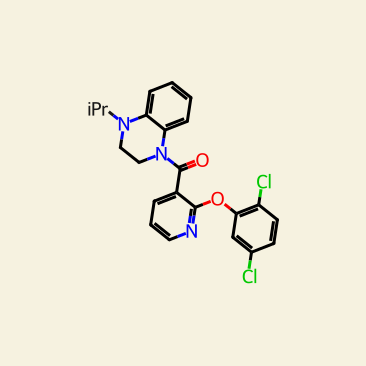 CC(C)N1CCN(C(=O)c2cccnc2Oc2cc(Cl)ccc2Cl)c2ccccc21